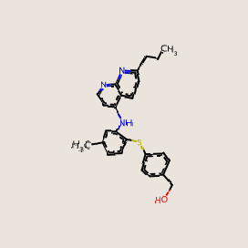 CCCc1ccc2c(Nc3cc(C)ccc3Sc3ccc(CO)cc3)ccnc2n1